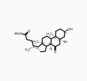 COC(=O)CC[C@@H](C)[C@H]1CCC2[C@@H]3C(=O)C[C@]4(C(C)C)C[C@H](O)CC[C@]4(C)C3CC[C@@]21C